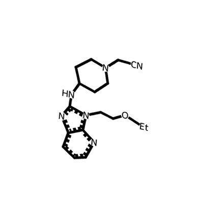 CCOCCn1c(NC2CCN(CC#N)CC2)nc2cccnc21